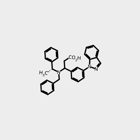 C[C@H](c1ccccc1)N(Cc1ccccc1)C(CC(=O)O)c1cccc(-n2ncc3ccccc32)c1